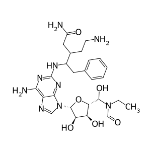 CCN(C=O)C(O)[C@H]1O[C@@H](n2cnc3c(N)nc(NC(Cc4ccccc4)C(CCN)CC(N)=O)nc32)[C@H](O)[C@@H]1O